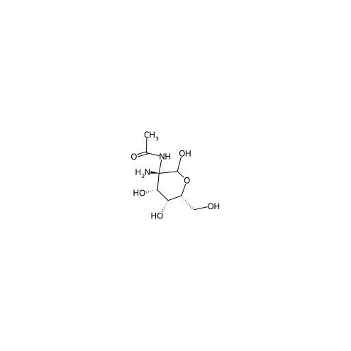 CC(=O)N[C@]1(N)C(O)O[C@H](CO)[C@H](O)[C@@H]1O